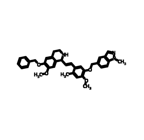 COc1cc(C)c(/C=C/C2NCCc3cc(OCc4ccccc4)c(OC)cc32)cc1OCc1ccc2c(cnn2C)c1